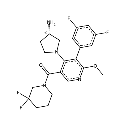 COc1ncc(C(=O)N2CCCC(F)(F)C2)c(N2CC[C@H](N)C2)c1-c1cc(F)cc(F)c1